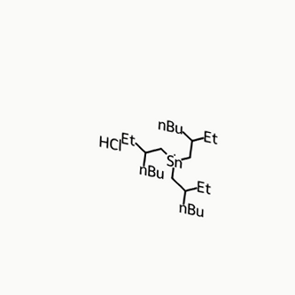 CCCCC(CC)[CH2][Sn]([CH2]C(CC)CCCC)[CH2]C(CC)CCCC.Cl